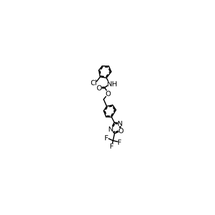 O=C(Nc1ccccc1Cl)OCc1ccc(-c2noc(C(F)(F)F)n2)cc1